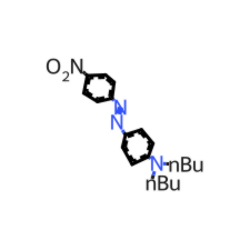 CCCCN(CCCC)c1ccc(N=Nc2ccc([N+](=O)[O-])cc2)cc1